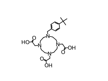 CC(C)(C)c1ccc(CN2CCN(CC(=O)O)CCN(CC(=O)O)CCN(CC(=O)O)CC2)cc1